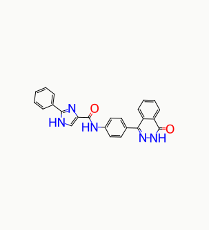 O=C(Nc1ccc(-c2n[nH]c(=O)c3ccccc23)cc1)c1c[nH]c(-c2ccccc2)n1